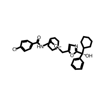 O=C(NC1C[N+]2(Cc3cnc([C@](O)(c4ccccc4)C4CCCCC4)o3)CCC1CC2)c1ccc(Cl)cc1